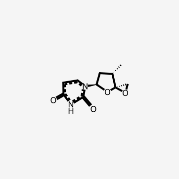 C[C@H]1C[C@H](n2ccc(=O)[nH]c2=O)O[C@@]12CO2